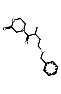 CC(CCOCc1ccccc1)C(=O)N1CCOC(=O)C1